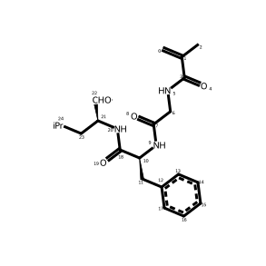 C=C(C)C(=O)NCC(=O)N[C@@H](Cc1ccccc1)C(=O)N[C@H]([C]=O)CC(C)C